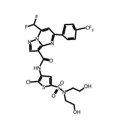 O=C(Nc1cc(S(=O)(=O)N(CCO)CCO)sc1Cl)c1cnn2c(C(F)F)cc(-c3ccc(C(F)(F)F)cc3)nc12